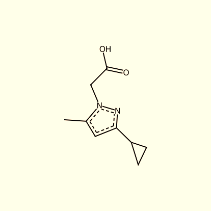 Cc1cc(C2CC2)nn1CC(=O)O